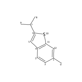 Cc1ccc2cc(C(C)C)sc2c1